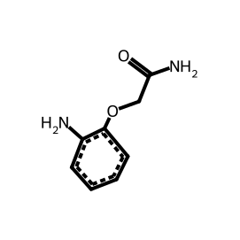 NC(=O)COc1ccccc1N